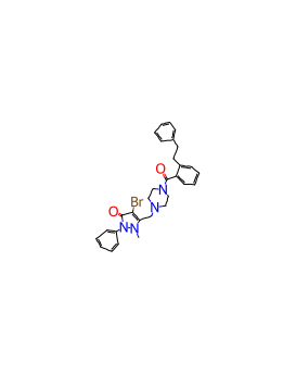 Cn1c(CN2CCN(C(=O)c3ccccc3CCc3ccccc3)CC2)c(Br)c(=O)n1-c1ccccc1